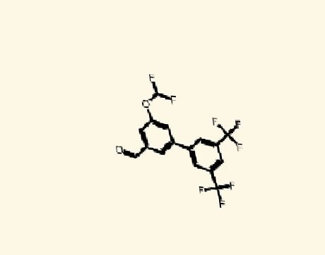 O=Cc1cc(OC(F)F)cc(-c2cc(C(F)(F)F)cc(C(F)(F)F)c2)c1